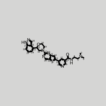 CN(C)CCNC(=O)c1cncc(-c2cc3nc(N4CCOC(c5cccc6[nH]ncc56)C4)ncc3s2)c1